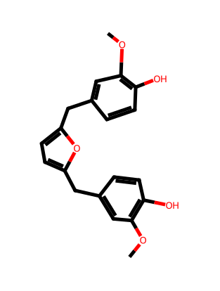 COc1cc(Cc2ccc(Cc3ccc(O)c(OC)c3)o2)ccc1O